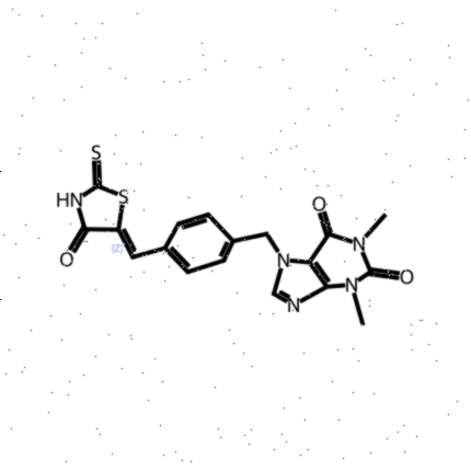 Cn1c(=O)c2c(ncn2Cc2ccc(/C=C3\SC(=S)NC3=O)cc2)n(C)c1=O